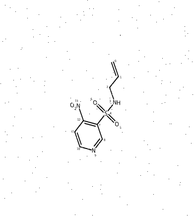 C=CCNS(=O)(=O)c1cnccc1[N+](=O)[O-]